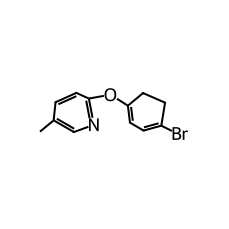 Cc1ccc(OC2=CC=C(Br)CC2)nc1